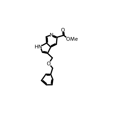 COC(=O)c1cc2c(COCc3ccccc3)c[nH]c2cn1